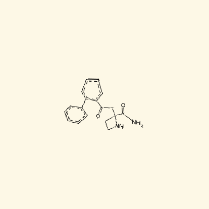 NC(=O)C1([CH]C(=O)c2ccccc2-c2ccccc2)CCN1